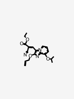 C=CCOc1nc2c(OC(C)C)cccn2c1/C=C(\C#N)C(=O)OCC